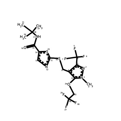 Cn1nc(C(F)(F)F)c(CSc2ncc(C(=O)NC(C)(C)C)s2)c1OCC(F)(F)F